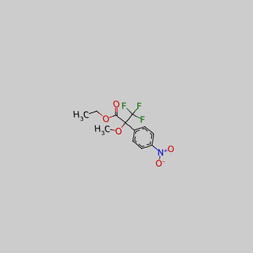 CCOC(=O)C(OC)(c1ccc([N+](=O)[O-])cc1)C(F)(F)F